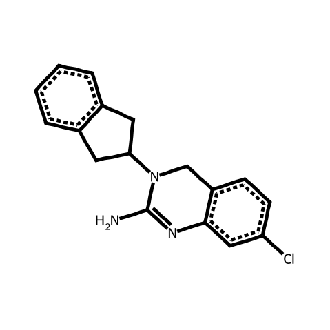 NC1=Nc2cc(Cl)ccc2CN1C1Cc2ccccc2C1